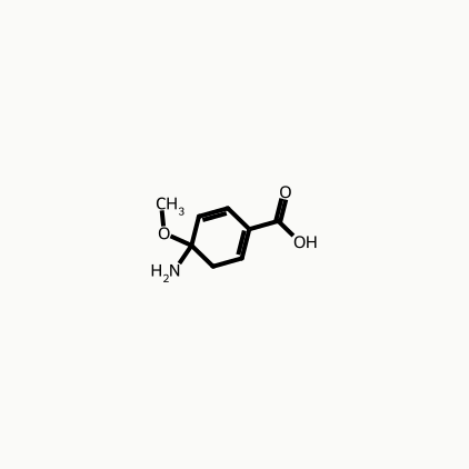 COC1(N)C=CC(C(=O)O)=CC1